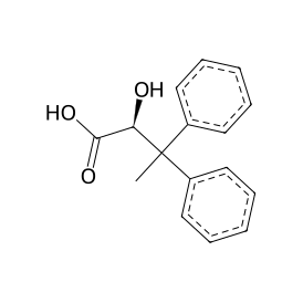 CC(c1ccccc1)(c1ccccc1)[C@H](O)C(=O)O